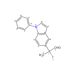 CC(F)(C=O)c1ccc2c(ccn2-c2ccccc2)c1